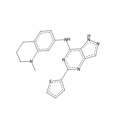 CN1CCCc2ccc(Nc3nc(-c4cccs4)nc4cn[nH]c34)cc21